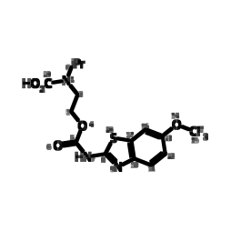 CC(C)N(CCOC(=O)Nc1nc2ccc(OC(F)(F)F)cc2s1)C(=O)O